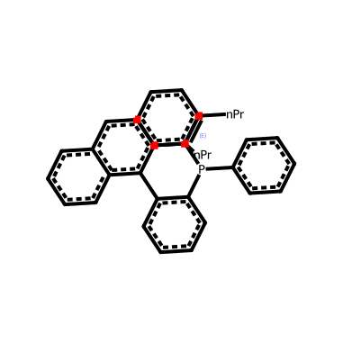 CCC/C=C(\CCC)c1ccc2ccccc2c1-c1ccccc1P(c1ccccc1)c1ccccc1